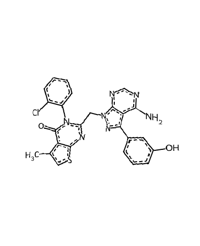 Cc1csc2nc(Cn3nc(-c4cccc(O)c4)c4c(N)ncnc43)n(-c3ccccc3Cl)c(=O)c12